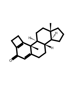 C[C@@]12CCC[C@H]1[C@@H]1CCC3=CC(=O)C4=C(CC4)[C@]3(C)[C@H]1CC2